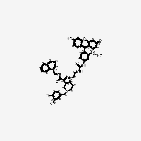 O=COc1cc(NC(=S)NCCn2nc(C(=O)NCc3cccc4ccccc34)c3c2CCN(Cc2ccc(Cl)c(Cl)c2)C3)ccc1-c1c2ccc(=O)cc-2oc2cc(O)ccc12